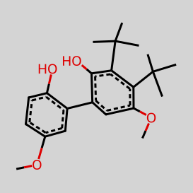 COc1ccc(O)c(-c2cc(OC)c(C(C)(C)C)c(C(C)(C)C)c2O)c1